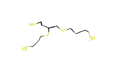 SCCCSCC(CS)SCCS